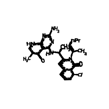 CCC/C=C(\C)n1c([C@H](C)Nc2nc(N)nc3[nH]cc(C)c(=O)c23)cc2cccc(Cl)c2c1=O